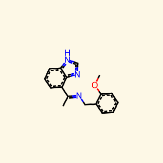 COc1ccccc1CN=C(C)c1cccc2[nH]cnc12